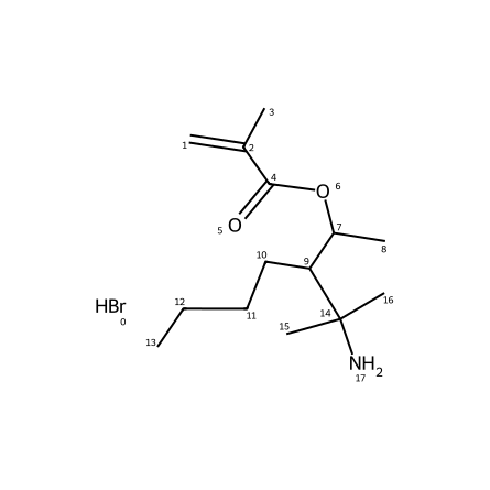 Br.C=C(C)C(=O)OC(C)C(CCCC)C(C)(C)N